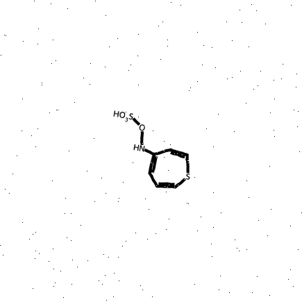 O=S(=O)(O)ONC1=CC=CSC=C1